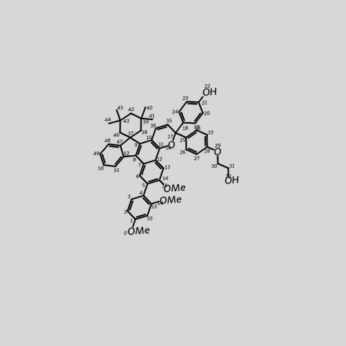 COc1ccc(-c2cc3c4c(c5c(c3cc2OC)OC(c2ccc(O)cc2)(c2ccc(OCCO)cc2)C=C5)C2(CC(C)(C)CC(C)(C)C2)c2ccccc2-4)c(OC)c1